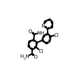 NC(=O)c1ccc(C(N)=O)c(-c2ccc(Cl)c(-c3ccccn3)c2)c1Cl